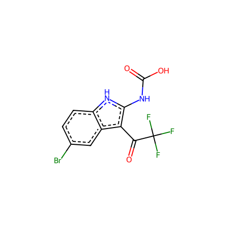 O=C(O)Nc1[nH]c2ccc(Br)cc2c1C(=O)C(F)(F)F